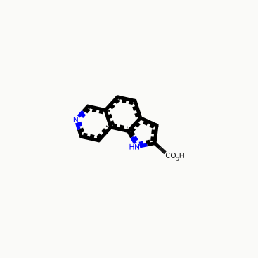 O=C(O)c1cc2ccc3cnccc3c2[nH]1